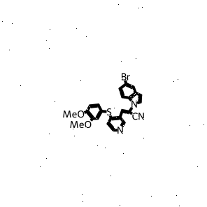 COc1ccc(Sc2ccncc2C=C(C#N)n2ccc3cc(Br)ccc32)cc1OC